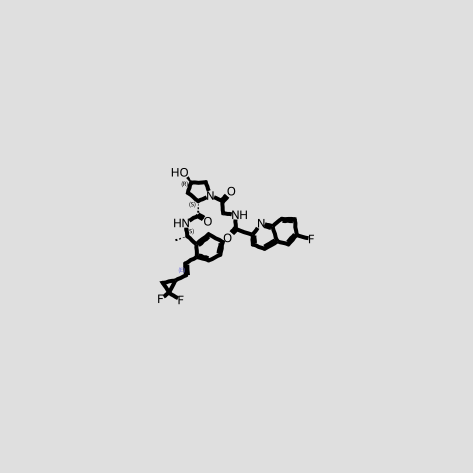 C[C@H](NC(=O)[C@@H]1C[C@@H](O)CN1C(=O)CNC(=O)c1ccc2cc(F)ccc2n1)c1ccccc1/C=C/C1CC1(F)F